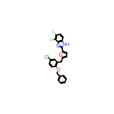 Fc1ccc2[nH]c(-c3ccc(Cc4cc(Cl)ccc4OCc4ccccc4)o3)nc2c1F